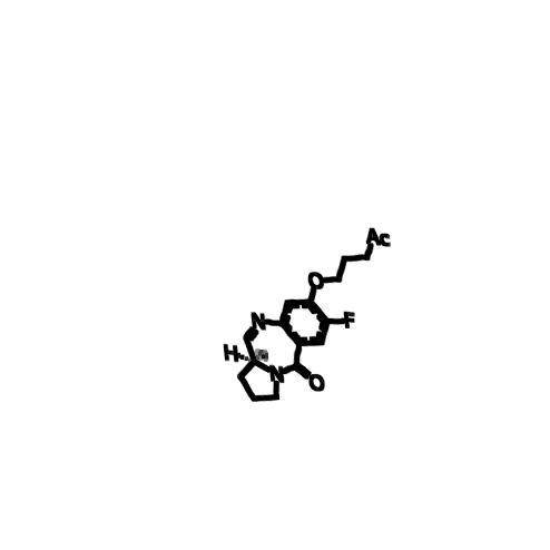 CC(=O)CCCOc1cc2c(cc1F)C(=O)N1CCC[C@H]1C=N2